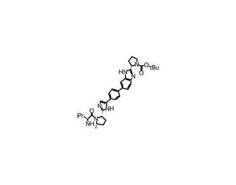 CC(C)[C@H](N)C(=O)N1CCC[C@H]1c1ncc(-c2ccc(-c3ccc4nc([C@@H]5CCCN5C(=O)OC(C)(C)C)[nH]c4c3)cc2)[nH]1